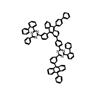 c1ccc(-c2ccc(-c3c4ccccc4c(-c4cccc(-c5nc(-c6ccccc6)nc(-c6ccccc6-c6ccccc6)n5)c4)c4cc(-c5ccc(-c6nc(-c7cccc(-c8c9ccccc9c(-c9ccccc9)c9ccccc89)c7)nc(-c7ccccc7-c7ccccc7)n6)cc5)ccc34)cc2)cc1